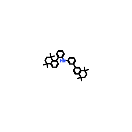 CC1(C)CCC(C)(C)c2cc(-c3cccc(Nc4ccccc4-c4cccc5c4C(C)(C)CCC5(C)C)c3)ccc21